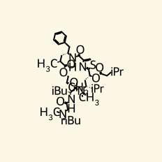 C=CCOC(=O)[C@@H](C)C[C@H](Cc1ccccc1)NC(=O)c1csc([C@@H](C[C@H](C(C)C)N(C)C(=O)[C@@H](NC(=O)CN(C)CCCC)[C@@H](C)CC)OC(=O)CC(C)C)n1